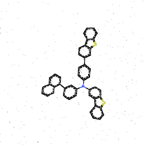 c1cc(-c2cccc3ccccc23)cc(N(c2ccc(-c3ccc4c(c3)sc3ccccc34)cc2)c2ccc3sc4ccccc4c3c2)c1